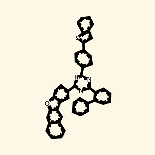 c1ccc(-c2ccccc2-c2nc(-c3ccc(-c4cc5ccccc5s4)cc3)nc(-c3ccc4oc5cc6ccccc6cc5c4c3)n2)cc1